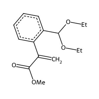 C=C(C(=O)OC)c1ccccc1C(OCC)OCC